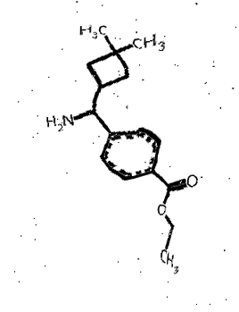 CCOC(=O)c1ccc(C(N)C2CC(C)(C)C2)cc1